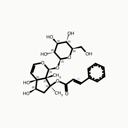 C[C@]12[C@H](O[C@@H]3O[C@H](CO)[C@@H](O)[C@H](O)[C@H]3O)OC=C[C@@]1(O)[C@H](O)C[C@]2(C)OC(=O)/C=C/c1ccccc1